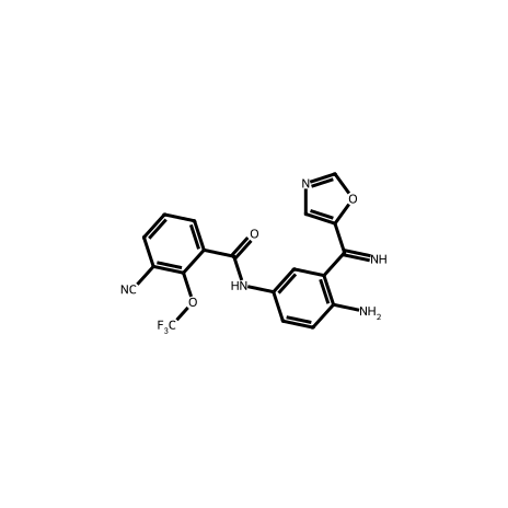 N#Cc1cccc(C(=O)Nc2ccc(N)c(C(=N)c3cnco3)c2)c1OC(F)(F)F